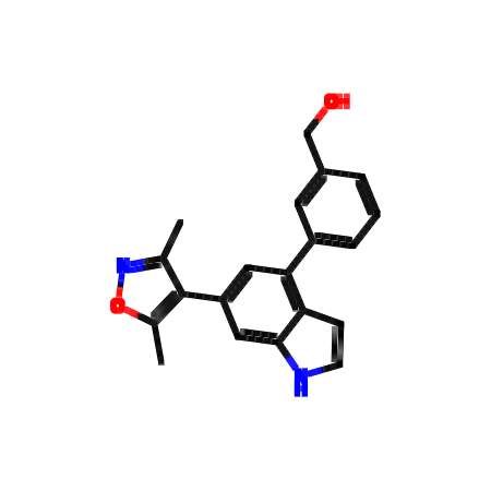 Cc1noc(C)c1-c1cc(-c2cccc(CO)c2)c2cc[nH]c2c1